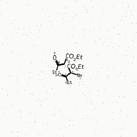 CCOC(=O)C(Br)C(=O)CC.CCOC(=O)CC(=O)CC